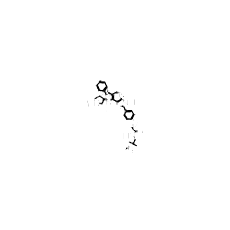 CN(C)C(C)(C)CNC(=O)COc1ccc(-c2nc3c(N[C@]4(Cc5ccccc5)CCNC4)c(Cl)cnc3[nH]2)cc1